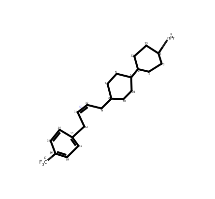 CCCC1CCC(C2CCC(C/C=C\Cc3ccc(C(F)(F)F)cc3)CC2)CC1